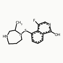 CC1CNCCCN1Sc1cccc2c(O)ncc(F)c12